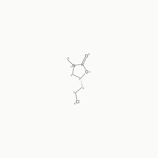 CN1C[C@@H](CCCl)OC1=O